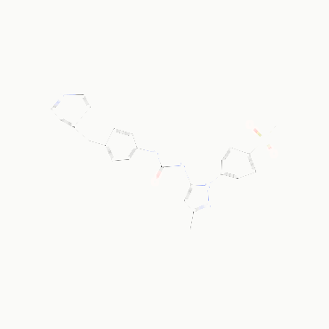 CC(C)(C)c1cc(NC(=O)Nc2ccc(Cc3ccncc3)cc2)n(-c2ccc(S(C)(=O)=O)cc2)n1